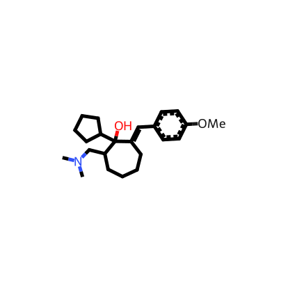 COc1ccc(C=C2CCCCC(CN(C)C)C2(O)C2CCCC2)cc1